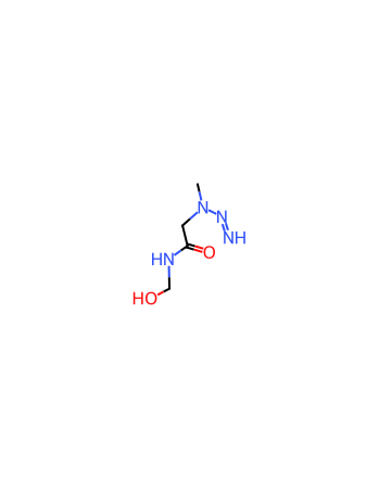 CN(CC(=O)NCO)N=N